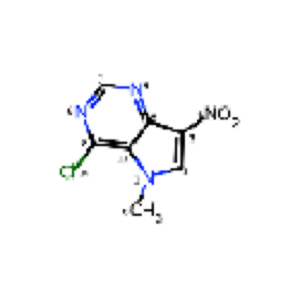 Cn1cc([N+](=O)[O-])c2ncnc(Cl)c21